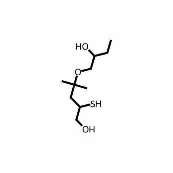 CCC(O)COC(C)(C)CC(S)CO